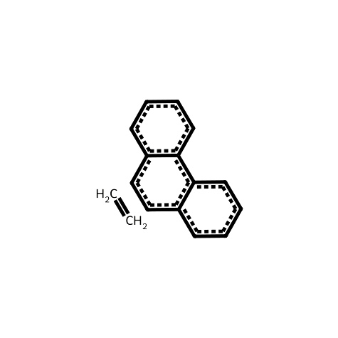 C=C.c1ccc2c(c1)ccc1ccccc12